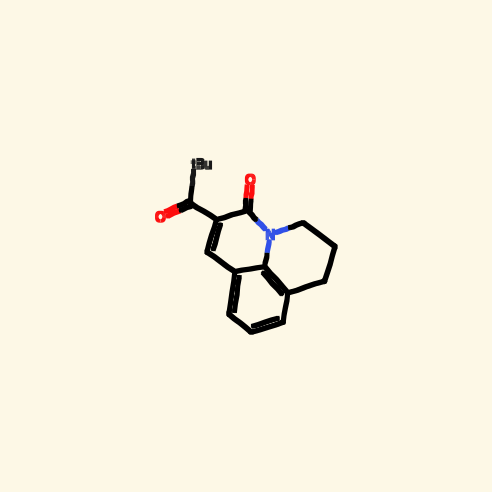 CC(C)(C)C(=O)c1cc2cccc3c2n(c1=O)CCC3